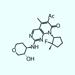 CC(=O)c1c(C)c2cnc(N[C@@H]3CCOC[C@H]3O)nc2n([C@H]2CCC[C@]2(C)F)c1=O